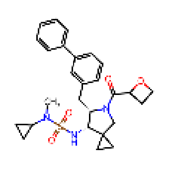 CN(C1CC1)S(=O)(=O)N[C@@H]1[C@H](Cc2cccc(-c3ccccc3)c2)N(C(=O)C2CCO2)CC12CC2